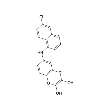 OC1=C(O)Oc2cc(Nc3ccnc4cc(Cl)ccc34)ccc2O1